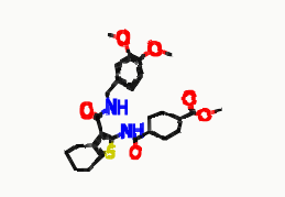 COC(=O)C1CCC(C(=O)Nc2sc3c(c2C(=O)NCc2ccc(OC)c(OC)c2)CCCC3)CC1